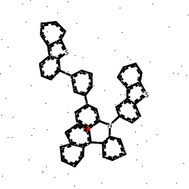 c1cc(-c2cccc(N(c3ccc4sc5ccccc5c4c3)c3ccccc3-c3cccc4ccccc34)c2)cc(-c2cccc3c2sc2ccccc23)c1